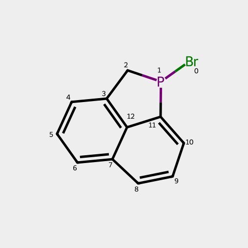 BrP1Cc2cccc3cccc1c23